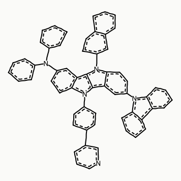 c1ccc(N(c2ccccc2)c2ccc3c(c2)c2c(c4cc(-n5c6ccccc6c6ccccc65)ccc4n2-c2ccc4ccccc4c2)n3-c2ccc(-c3cccnc3)cc2)cc1